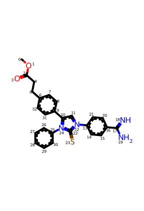 COC(=O)CCc1ccc(-c2cn(-c3ccc(C(=N)N)cc3)c(=S)n2-c2ccccc2)cc1